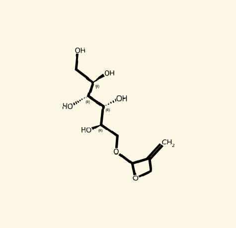 C=C1COC1OC[C@@H](O)[C@@H](O)[C@H](O)[C@H](O)CO